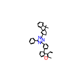 C=Cc1c(C)oc2cccc(-c3cccc(-c4nc(C5=CC6=C(CC5)C(C)(C)c5ccccc56)nc(-c5ccccc5)n4)c3)c12